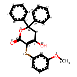 COc1cccc(SC2=C(O)CC(c3ccccc3)(c3ccccc3)OC2=O)c1